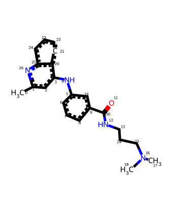 Cc1cc(Nc2cccc(C(=O)NCCCN(C)C)c2)c2ccccc2n1